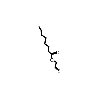 CCCCCCCC(=O)OCC=S